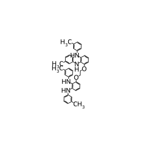 Cc1cccc(Nc2cccc(OCCOc3cccc(Nc4cccc(C)c4)c3Nc3cccc(C)c3)c2Nc2cccc(C)c2)c1